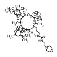 CC[C@H]1OC(=O)[C@H](C)[C@@H](O[C@H]2C[C@@](C)(OC)[C@@H](O)[C@H](C)O2)[C@H](C)[C@@H](O[C@@H]2O[C@H](C)C[C@H](N(C)C)[C@H]2O)[C@](C)(O)C[C@@H](C)CN(CCCNC(=S)NCCN2CCOCC2)[C@H](C)[C@@H](O)[C@]1(C)O